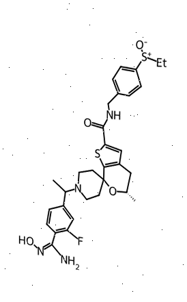 CC[S+]([O-])c1ccc(CNC(=O)c2cc3c(s2)C2(CCN(C(C)c4ccc(/C(N)=N\O)c(F)c4)CC2)O[C@@H](C)C3)cc1